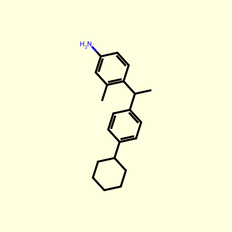 Cc1cc(N)ccc1C(C)c1ccc(C2CCCCC2)cc1